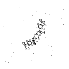 Cc1c([C@H](O)CN2CCC(CS(=O)(=O)c3ccc4c(c3)CCOC4=O)CC2)ccc2c1COC2=O